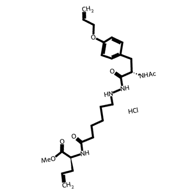 C=CCOc1ccc(C[C@H](NC(C)=O)C(=O)NNCCCCCC(=O)N[C@@H](CC=C)C(=O)OC)cc1.Cl